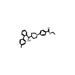 CCOC(=O)c1ccc(N2CCC([C@@H](O)c3ccccc3-c3ccc(C)cc3)CC2)cc1